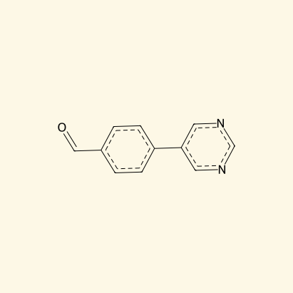 O=Cc1ccc(-c2cncnc2)cc1